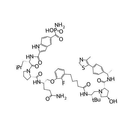 Cc1ncsc1-c1ccc([C@H](C)NC(=O)[C@@H]2C[C@@H](O)CN2C[C@@H](NC(=O)CCCCc2cccc(OC[C@H](CCC(N)=O)NC(=O)[C@@H]3CCCN3C(=O)[C@H](CC(C)C)NC(=O)c3cc4cc(C(=O)P(N)(=O)O)ccc4[nH]3)c2F)C(C)(C)C)cc1